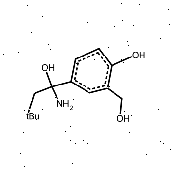 CC(C)(C)CC(N)(O)c1ccc(O)c(CO)c1